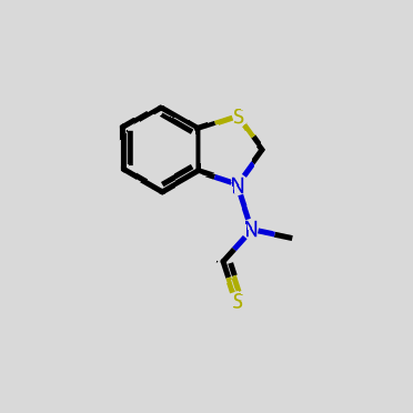 CN([C]=S)N1CSc2ccccc21